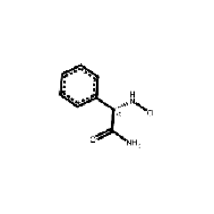 NC(=O)[C@@H](NCl)c1ccccc1